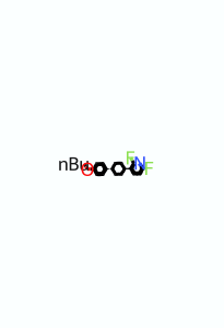 CCCCOc1ccc([C@H]2CC[C@H](c3ccc(F)nc3F)CC2)cc1